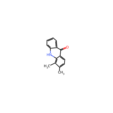 Cc1ccc2c(=O)c3ccccc3[nH]c2c1C